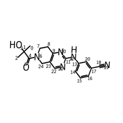 CC(C)(O)C(=O)N1CCc2nc(Nc3cccc(C#N)c3)ncc2C1